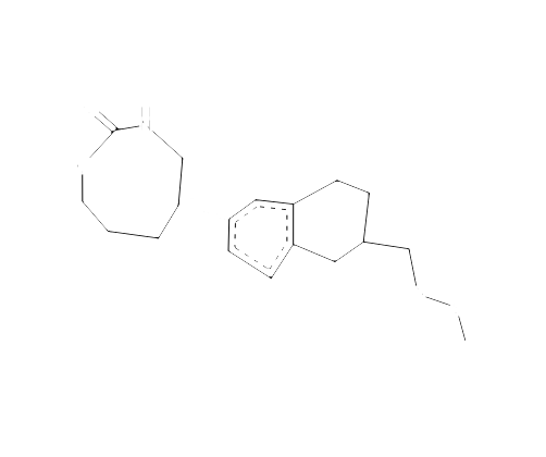 O=C1NC[C@H](c2ccc3c(c2)CCC(COSI)C3)CCCO1